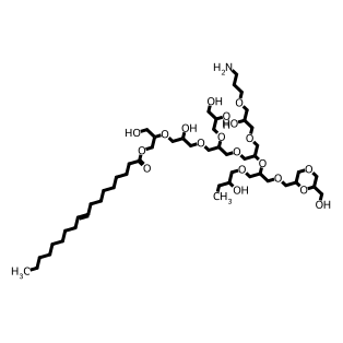 CCCCCCCCC=CCCCCCCCC(=O)OCC(CO)OCC(O)COCC(COCC(COCC(O)COCCCN)OC(COCC(O)CC)COCC1COCC(CO)O1)OCC(O)CO